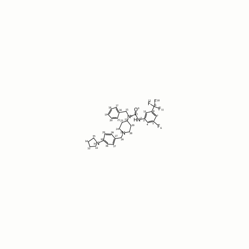 O=C(Nc1cc(F)cc(C(F)(F)F)c1)N(Cc1ccccc1)C1CCN(Cc2ccc(N3CCCC3)cc2)CC1